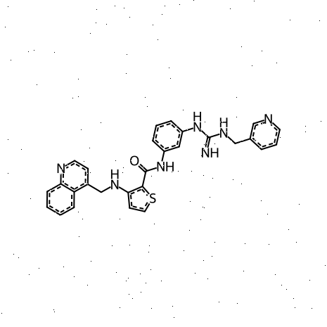 N=C(NCc1cccnc1)Nc1cccc(NC(=O)c2sccc2NCc2ccnc3ccccc23)c1